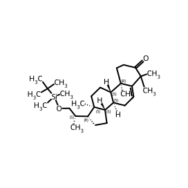 C[C@H](CO[Si](C)(C)C(C)(C)C)[C@H]1CC[C@H]2[C@@H]3CC=C4C(C)(C)C(=O)CC[C@]4(C)[C@H]3CC[C@]12C